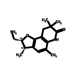 Cc1cc2c(c3c1NC(=O)C(C)(C)C3)O[C@@H](CN)[C@H]2C